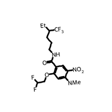 CCC(CCCNC(=O)c1cc([N+](=O)[O-])c(NC)cc1OCC(F)F)C(F)(F)F